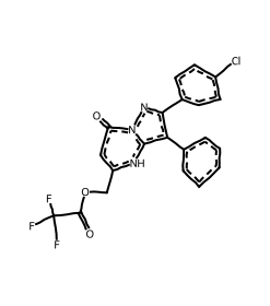 O=C(OCc1cc(=O)n2nc(-c3ccc(Cl)cc3)c(-c3ccccc3)c2[nH]1)C(F)(F)F